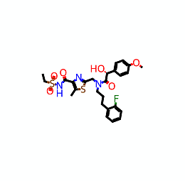 CCS(=O)(=O)NC(=O)c1nc(CN(CCCc2ccccc2F)C(=O)[C@H](O)c2ccc(OC)cc2)sc1C